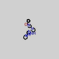 O=C(c1ccccc1)N1CCC(N2CCCCC(Nc3nccc(N4CCCCCC4)n3)C2)CC1